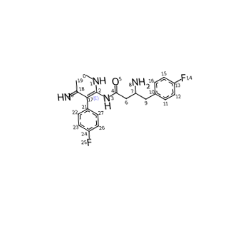 CN/C(NC(=O)CC(N)Cc1ccc(F)cc1)=C(\C(C)=N)c1ccc(F)cc1